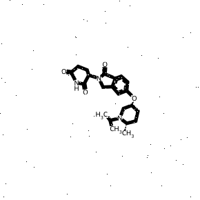 CC(C)N1C[C@H](Oc2ccc3c(c2)CN(C2CCC(=O)NC2=O)C3=O)CC[C@@H]1C